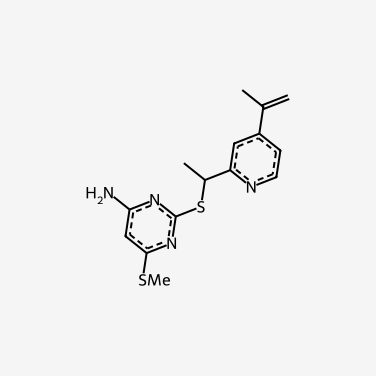 C=C(C)c1ccnc(C(C)Sc2nc(N)cc(SC)n2)c1